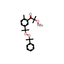 CCCCOC(C)(C)C(=O)c1cc(C(C)(C)OOC(C)(C)c2ccccc2)ccc1C